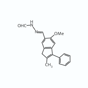 COc1cc2c(cc1/C=N/NC=O)CC(C)=C2c1ccccc1